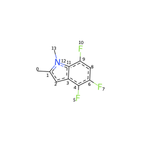 Cc1cc2c(F)c(F)cc(F)c2n1C